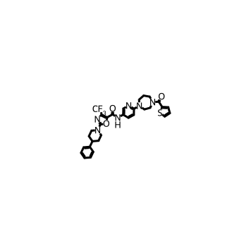 O=C(Nc1ccc(N2CCCN(C(=O)c3cccs3)CC2)nc1)c1oc(N2CCC(c3ccccc3)CC2)nc1C(F)(F)F